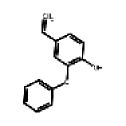 C=Cc1ccc(O)c(Oc2ccccc2)c1